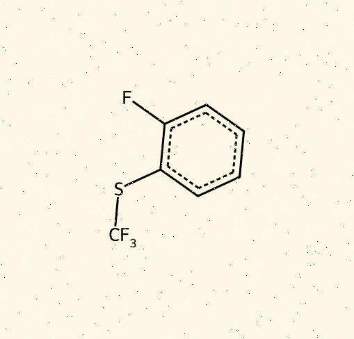 Fc1ccccc1SC(F)(F)F